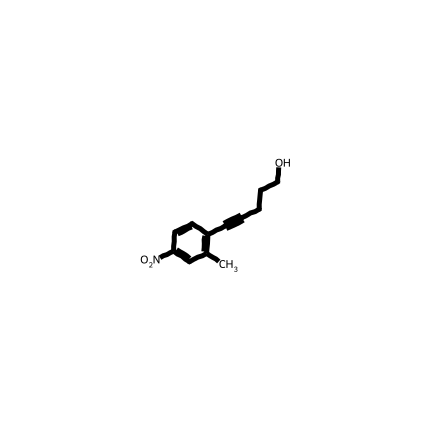 Cc1cc([N+](=O)[O-])ccc1C#CCCCO